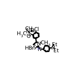 Br.CCN(CC)c1ccc(/N=c2/scc(-c3ccc(Cl)c(S(=O)(=O)N(C)C)c3)n2C)cc1